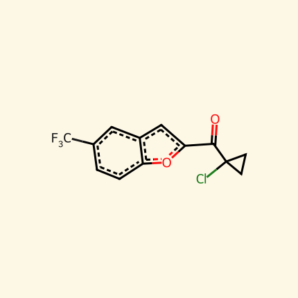 O=C(c1cc2cc(C(F)(F)F)ccc2o1)C1(Cl)CC1